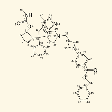 CNC(=O)O[C@H]1CCC[C@@H]1[C@](Cn1cnnc1C)(c1ccccc1)C1CCN(CC2CN(c3ccc(C(=O)OCc4ccccc4)cc3)C2)CC1